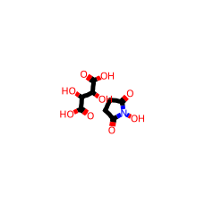 O=C(O)C(O)C(O)C(=O)O.O=C1CCC(=O)N1O